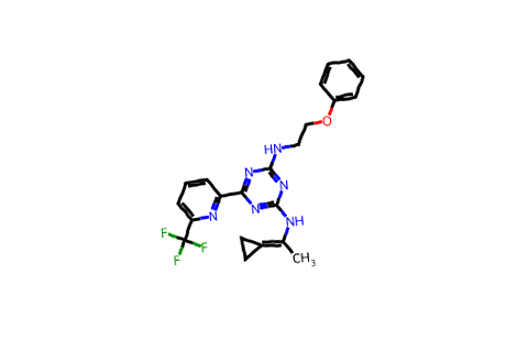 CC(Nc1nc(NCCOc2ccccc2)nc(-c2cccc(C(F)(F)F)n2)n1)=C1CC1